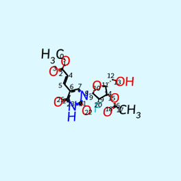 COC(=O)/C=C/c1cn([C@@H]2O[C@H](CO)C(OC(C)=O)[C@@H]2F)c(=O)[nH]c1=O